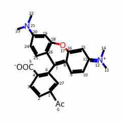 CC(=O)c1ccc(C(=O)[O-])c(-c2c3ccc(=[N+](C)C)cc-3oc3cc(N(C)C)ccc23)c1